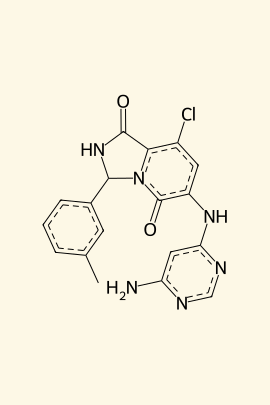 Cc1cccc(C2NC(=O)c3c(Cl)cc(Nc4cc(N)ncn4)c(=O)n32)c1